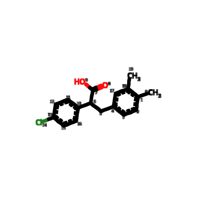 Cc1ccc(CC(C(=O)O)c2ccc(Cl)cc2)cc1C